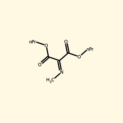 CCCOC(=O)C(=NC)C(=O)OCCC